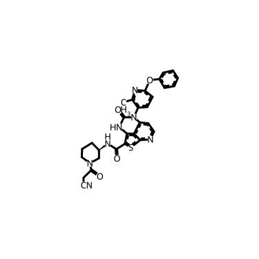 Cc1nc(Oc2ccccc2)ccc1N1C(=O)Nc2c(C(=O)N[C@@H]3CCCN(C(=O)CC#N)C3)sc3nccc1c23